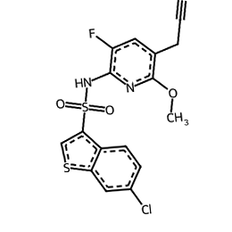 COc1nc(NS(=O)(=O)c2csc3cc(Cl)ccc23)c(F)cc1CC#N